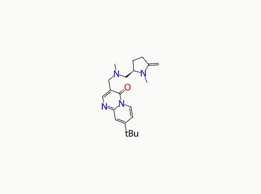 C=C1CC[C@H](CN(C)Cc2cnc3cc(C(C)(C)C)ccn3c2=O)N1C